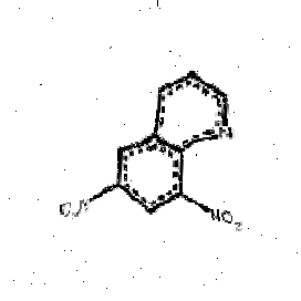 O=[N+]([O-])c1cc([N+](=O)[O-])c2ncccc2c1